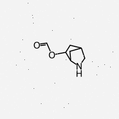 O=COC1CC2CNC1C2